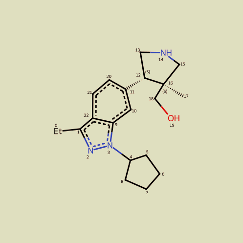 CCc1nn(C2CCCC2)c2cc([C@@H]3CNC[C@@]3(C)CO)ccc12